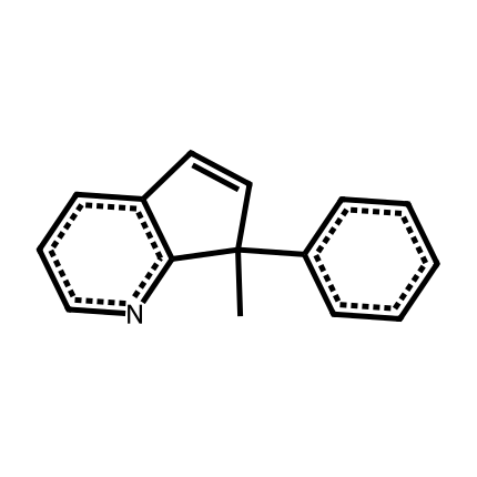 CC1(c2ccccc2)C=Cc2cccnc21